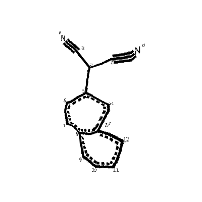 N#CC(C#N)c1ccc2ccccc2c1